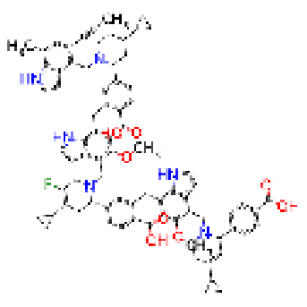 CC#Cc1cc(C)c2[nH]ccc2c1CN1CCC(C2CC2)C[C@H]1c1ccc(C(=O)O)c(Cc2cc(OC)c(CN3CC(F)=C(C4CC4)C[C@H]3c3ccc(C(=O)O)c(Cc4cc(OC)c(CN5CCC(C6CC6)=CC5c5ccc(C(=O)O)cc5)c5cc[nH]c45)c3)c3cc[nH]c23)c1